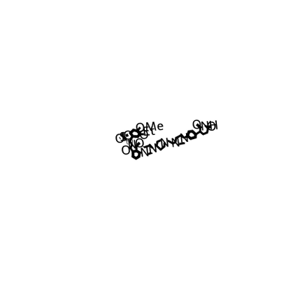 CCOc1cc([C@@H](CS(C)(=O)=O)N2C(=O)c3cccc(N4CCN(C5CCN(CCN6CCN(c7ccc(C8CCC(=O)NC8=O)cc7)CC6)CC5)CC4)c3C2=O)ccc1OC